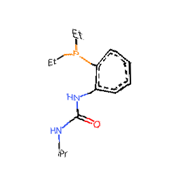 CCP(CC)c1ccccc1NC(=O)NC(C)C